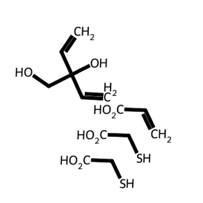 C=CC(=O)O.C=CC(O)(C=C)CO.O=C(O)CS.O=C(O)CS